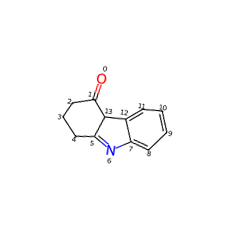 O=C1CCCC2=Nc3ccccc3C12